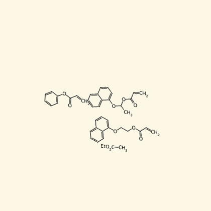 C=CC(=O)OC(C)Oc1cccc2ccccc12.C=CC(=O)OCCOc1cccc2ccccc12.C=CC(=O)Oc1ccccc1.CCOC(C)=O